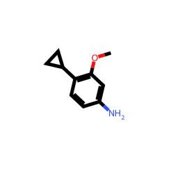 COc1cc(N)ccc1C1CC1